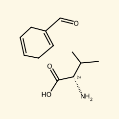 CC(C)[C@H](N)C(=O)O.O=CC1=CCC=CC1